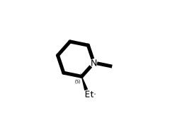 C[CH][C@H]1CCCCN1C